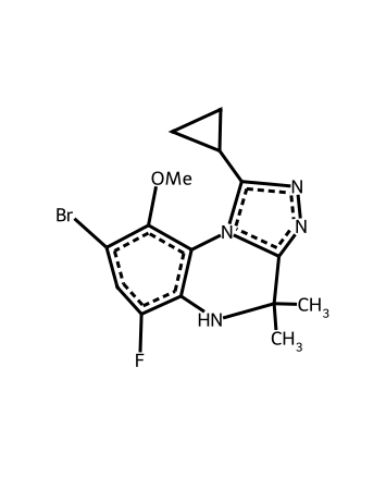 COc1c(Br)cc(F)c2c1-n1c(C3CC3)nnc1C(C)(C)N2